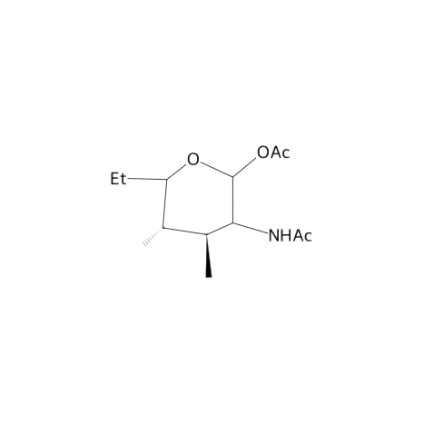 CCC1OC(OC(C)=O)C(NC(C)=O)[C@@H](C)[C@@H]1C